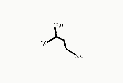 NCCC(C(=O)O)C(F)(F)F